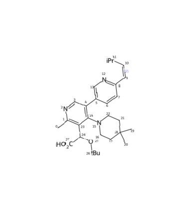 Cc1ncc(-c2ccc(/C=C\C(C)C)nc2)c(N2CCC(C)(C)CC2)c1C(OC(C)(C)C)C(=O)O